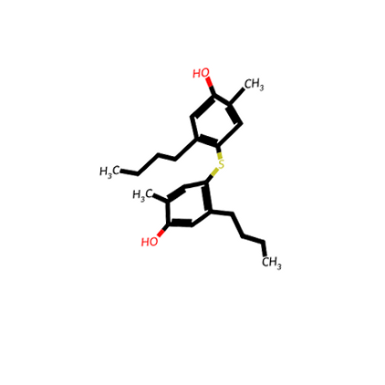 CCCCc1cc(O)c(C)cc1Sc1cc(C)c(O)cc1CCCC